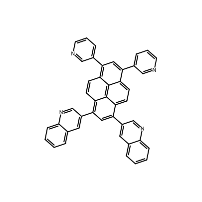 c1cncc(-c2cc(-c3cccnc3)c3ccc4c(-c5cnc6ccccc6c5)cc(-c5cnc6ccccc6c5)c5ccc2c3c54)c1